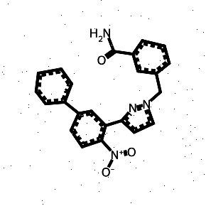 NC(=O)c1cccc(Cn2ccc(-c3cc(-c4ccccc4)ccc3[N+](=O)[O-])n2)c1